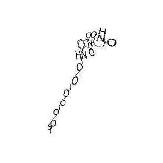 O=C1CCC(N2C(=O)c3cccc(NCCOCCOCCOCCOCCOCCOSI)c3C2=O)C(=O)N1